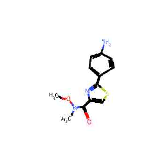 CON(C)C(=O)c1csc(-c2ccc(N)cc2)n1